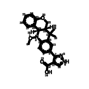 CON1c2ccc(-c3n[nH]cc3C(=O)O)cc2C(C)(C)[C@H]2COc3ccccc3[C@H]21